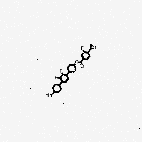 CCCC1CCC(c2ccc(C3CCC(OC(=O)c4ccc(C5CO5)c(F)c4)CC3)c(F)c2F)CC1